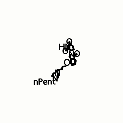 CCCCCN1CCN(CCCCOc2cccc3c2CN(C2CCC(=O)NC2=O)C3=O)CC1